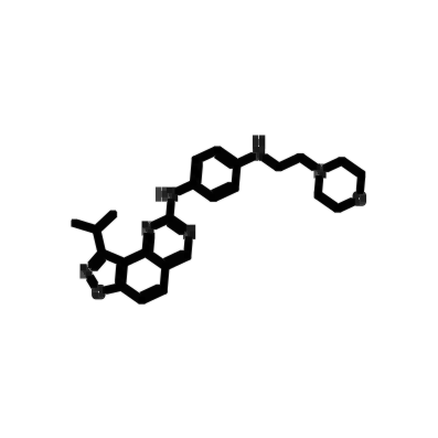 CC(C)c1noc2ccc3cnc(Nc4ccc(NCCN5CCOCC5)cc4)nc3c12